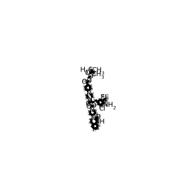 CC(C)(C)C(=O)OCOC(=O)c1ccc(N2CCN(C(=O)[C@@H](Cc3cc(Cl)c(N)c(C(F)(F)F)c3)OC(=O)N3CCC(N4CCc5ccccc5NC4=O)CC3)CC2)cc1